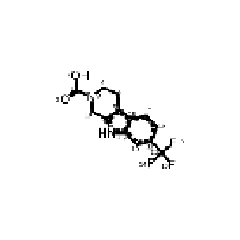 O=C(O)N1CCc2c([nH]c3cc(C(F)(F)F)ccc23)C1